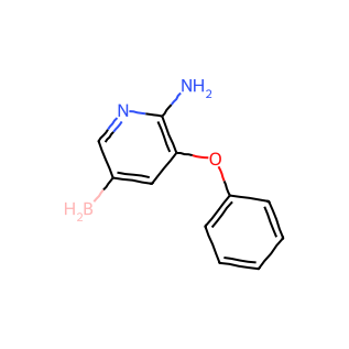 Bc1cnc(N)c(Oc2ccccc2)c1